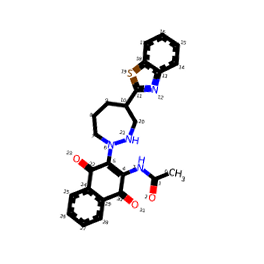 CC(=O)NC1=C(N2CCCC(c3nc4ccccc4s3)CN2)C(=O)c2ccccc2C1=O